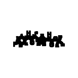 C[C@@H](C(=O)Nc1ccc(F)cc1)C1CC2(NC(=O)OC(C)(C)C)C3C1C32